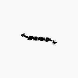 COC(=O)CCCCOc1ccc(/N=N/c2ccc(/N=N/c3ccc(/N=N/c4ccc(OCCCCC(=O)OC)cc4)cc3C)cc2)cc1